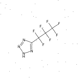 FC(F)(F)C(F)(F)C(F)(F)c1nn[nH]n1